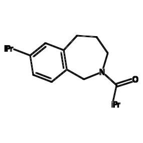 CC(C)C(=O)N1CCCc2cc(C(C)C)ccc2C1